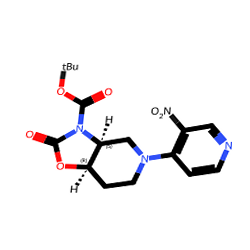 CC(C)(C)OC(=O)N1C(=O)O[C@@H]2CCN(c3ccncc3[N+](=O)[O-])C[C@@H]21